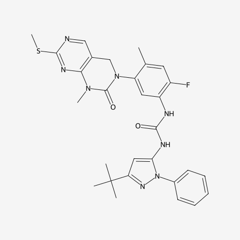 CSc1ncc2c(n1)N(C)C(=O)N(c1cc(NC(=O)Nc3cc(C(C)(C)C)nn3-c3ccccc3)c(F)cc1C)C2